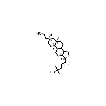 C[C@H](CCC(C)(C)O)[C@H]1CCC2C3CC[C@H]4C[C@](O)(CCO)CC[C@]4(C)C3CC[C@@]21C